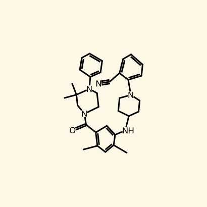 Cc1cc(C)c(C(=O)N2CCN(c3ccccc3)C(C)(C)C2)cc1NC1CCN(c2ccccc2C#N)CC1